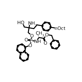 CCCCCCCCc1ccc(CCC(N)(CO)COP(=O)(N[C@H](C)C(=O)OCc2ccccc2)Oc2cccc3ccccc23)cc1